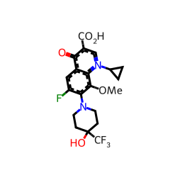 COc1c(N2CCC(O)(C(F)(F)F)CC2)c(F)cc2c(=O)c(C(=O)O)cn(C3CC3)c12